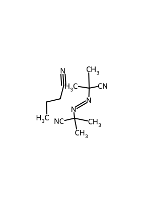 CC(C)(C#N)N=NC(C)(C)C#N.CCCC#N